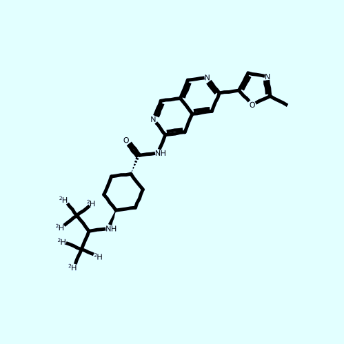 [2H]C([2H])([2H])C(N[C@H]1CC[C@H](C(=O)Nc2cc3cc(-c4cnc(C)o4)ncc3cn2)CC1)C([2H])([2H])[2H]